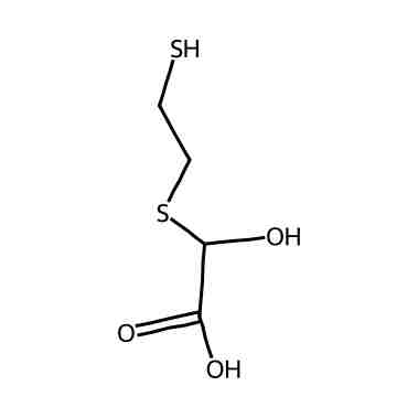 O=C(O)C(O)SCCS